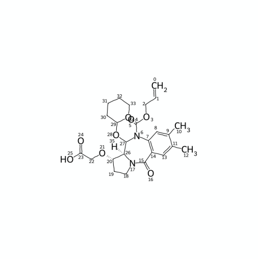 C=CCOC(=O)N1c2cc(C)c(C)cc2C(=O)N2CC[C@H](OCC(=O)O)[C@H]2C1OC1CCCCO1